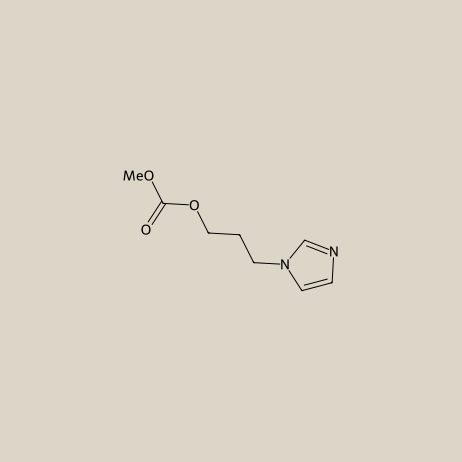 COC(=O)OCCCn1ccnc1